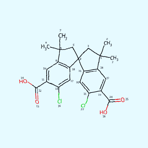 CC1(C)CC2(CC(C)(C)c3cc(C(=O)O)c(Cl)cc32)c2cc(Cl)c(C(=O)O)cc21